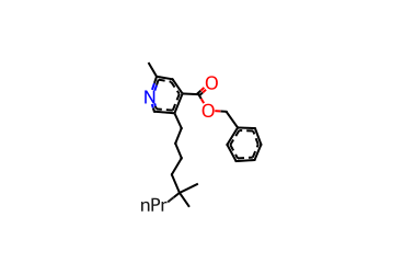 CCCC(C)(C)CCCCc1cnc(C)cc1C(=O)OCc1ccccc1